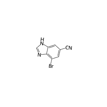 N#Cc1cc(Br)c2nc[nH]c2c1